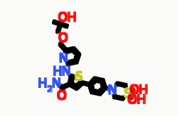 CC(C)(O)COCc1cccc(Nc2sc(-c3ccc(N4CCS(O)(O)CC4)cc3)cc2C(N)=O)n1